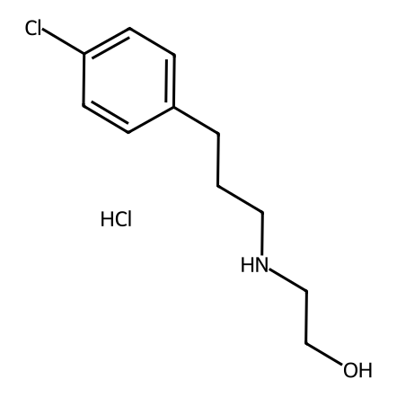 Cl.OCCNCCCc1ccc(Cl)cc1